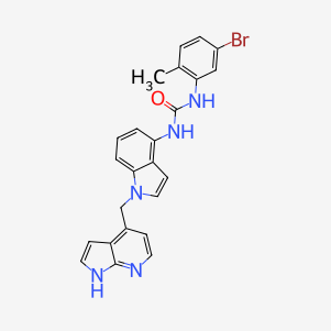 Cc1ccc(Br)cc1NC(=O)Nc1cccc2c1ccn2Cc1ccnc2[nH]ccc12